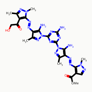 COC(=O)c1cnn(C)c1/N=N/c1c(C)nn(-c2nc(N)nc(-n3nc(C)c(/N=N/c4c(C(=O)CO)c(C)nn4C)c3N)n2)c1N